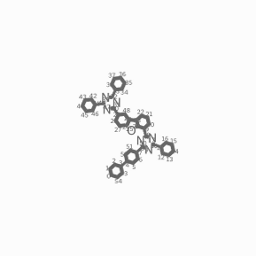 c1ccc(-c2ccc(-c3nc(-c4ccccc4)nc(-c4cccc5c4oc4ccc(-c6nc(-c7ccccc7)nc(-c7ccccc7)n6)cc45)n3)cc2)cc1